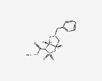 CC(C)(C)OC(=O)N1[C@@H]2CN(Cc3ccccc3)C[C@@H]2OS1(=O)=O